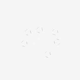 CCc1ccc(Cc2cc(C3O[C@H](COCc4ccccc4)[C@@H](OCc4ccccc4)[C@H](OCc4ccccc4)[C@H]3OCc3ccccc3)cc(OC)c2Cl)cc1